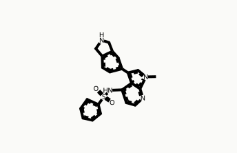 Cn1cc(-c2ccc3c(c2)CNC3)c2c(NS(=O)(=O)c3ccccc3)ccnc21